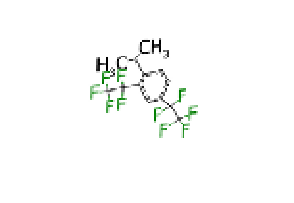 C[C](C)c1ccc(C(F)(F)C(F)(F)F)cc1C(F)(F)C(F)(F)F